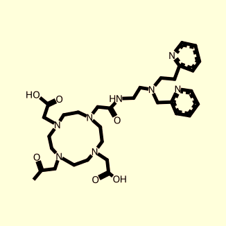 CC(=O)CN1CCN(CC(=O)O)CCN(CC(=O)NCCN(CCc2ccccn2)Cc2ccccn2)CCN(CC(=O)O)CC1